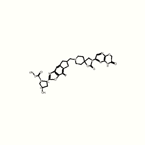 CC(C)(C)OC(=O)N1C[C@H](O)C[C@H]1c1nc2cc3c(c(F)c2o1)CC(CN1CCC2(CC1)CN(c1cnc4c(n1)NC(=O)CO4)C(=O)O2)C3